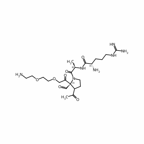 CC(=O)C1CCN(C(=O)[C@@H](C)NC(=O)[C@@H](N)CCCNC(=N)N)[C@@]1(C=O)C(=O)COCCOCCN